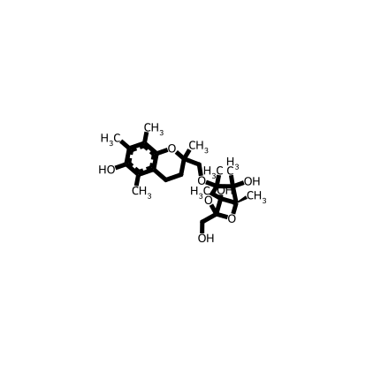 Cc1c(C)c2c(c(C)c1O)CCC(C)(COC1(C)OC3(CO)O[C@@](C)(C1(C)O)C3(C)O)O2